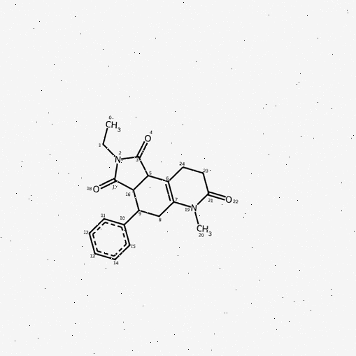 CCN1C(=O)C2C3=C(CC(c4ccccc4)C2C1=O)N(C)C(=O)CC3